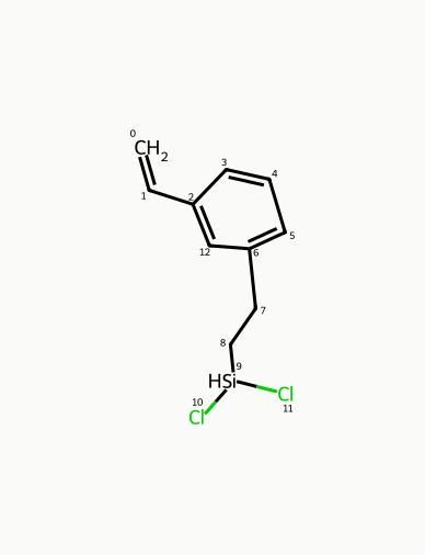 C=Cc1cccc(CC[SiH](Cl)Cl)c1